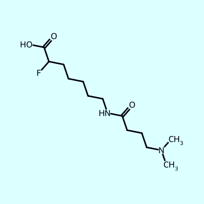 CN(C)CCCC(=O)NCCCCCC(F)C(=O)O